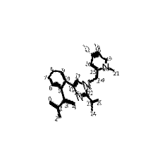 C=C(C)C(=C)C1=CCCC=C1c1cn(CC2=CC=CCN2C)c(C(C)C)n1